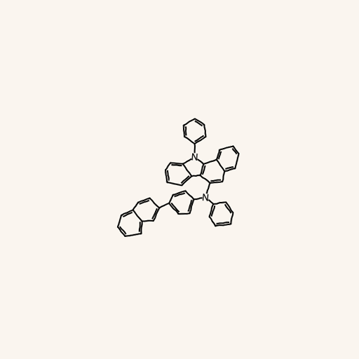 c1ccc(N(c2ccc(-c3ccc4ccccc4c3)cc2)c2cc3ccccc3c3c2c2ccccc2n3-c2ccccc2)cc1